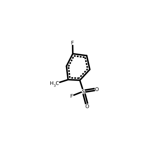 Cc1cc(F)ccc1S(=O)(=O)F